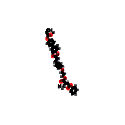 C=CC(=O)Oc1ccc(-c2ccc(OC(=O)/C=C/c3ccc(OCCCOC(=O)C(=C)CC(=O)OC4CCCCC4)cc3)cc2)cc1